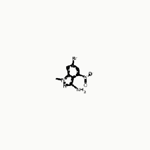 Cn1nc(N)c2c([N+](=O)[O-])cc(Br)cc21